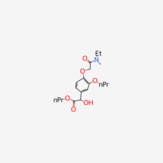 CCCOC(=O)C(O)c1ccc(OCC(=O)N(C)CC)c(OCCC)c1